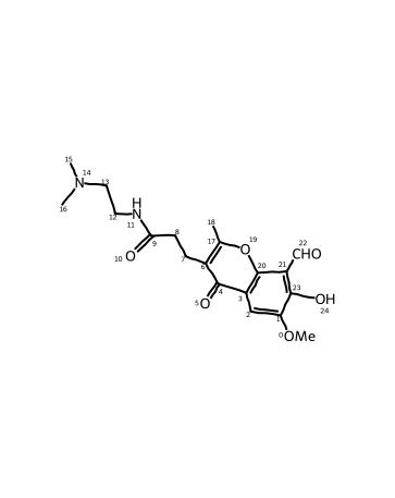 COc1cc2c(=O)c(CCC(=O)NCCN(C)C)c(C)oc2c(C=O)c1O